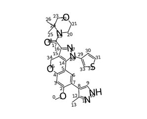 COc1cc2c(cc1-c1c[nH]nc1C)-c1c(c(C(=O)N3CCOCC3(C)C)nn1-c1ccsc1)CO2